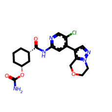 NC(=O)O[C@@H]1CCC[C@H](C(=O)Nc2cc(-c3cnn4c3COCC4)c(Cl)cn2)C1